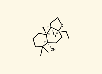 CC[C@@]12CC[C@@]3(O)C(C)(C)CCC[C@]3(C)[C@H]1CCO2